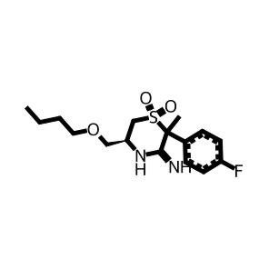 CCCCOC[C@H]1CS(=O)(=O)C(C)(c2ccc(F)cc2)C(=N)N1